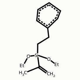 C=C(C)[Si](CCc1ccccc1)(OCC)OCC